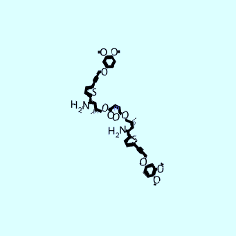 COc1ccc(OCC#Cc2ccc(C(N)C[C@@H](C)COC(=O)/C=C\C(=O)OC[C@H](C)CC(N)c3ccc(C#CCOc4ccc(OC)c(OC)c4)s3)s2)cc1OC